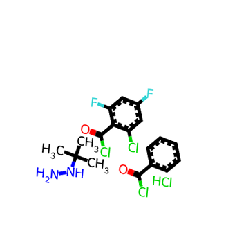 CC(C)(C)NN.Cl.O=C(Cl)c1c(F)cc(F)cc1Cl.O=C(Cl)c1ccccc1